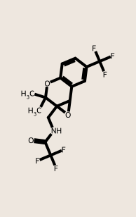 CC1(C)Oc2ccc(C(F)(F)F)cc2C2OC21CNC(=O)C(F)(F)F